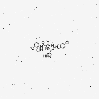 COc1cccc(NC(=O)c2nn3c(-c4cn[nH]c4)cc(N4Cc5ccc(Cl)cc5C4)nc3c2C(C)C)c1Cl